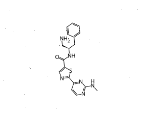 CNc1nccc(-c2ncc(C(=O)N[C@@H](CN)Cc3ccccc3)s2)n1